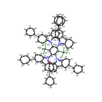 FC(F)(F)c1c(-n2c3ccccc3c3cc(-c4ccccc4)ccc32)c(-n2c3ccc(-c4ccccc4)cc3c3cc(-c4ccccc4)ccc32)c(C(F)(F)F)c(-n2c3ccc(-c4ccccc4)cc3c3cc(-c4ccccc4)ccc32)c1-n1c2ccccc2c2cc(-c3ccccc3)ccc21